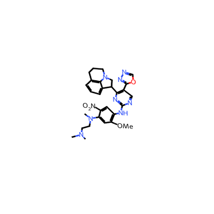 COc1cc(N(C)CCN(C)C)c([N+](=O)[O-])cc1Nc1ncc(-c2nnco2)c(C2CN3CCCc4cccc2c43)n1